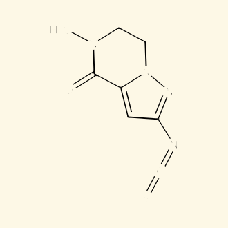 CN1CCn2nc(N=C=S)cc2C1=O